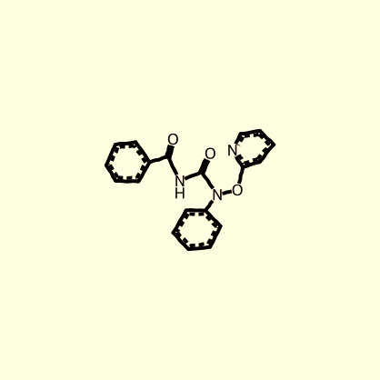 O=C(NC(=O)N(Oc1ccccn1)c1ccccc1)c1ccccc1